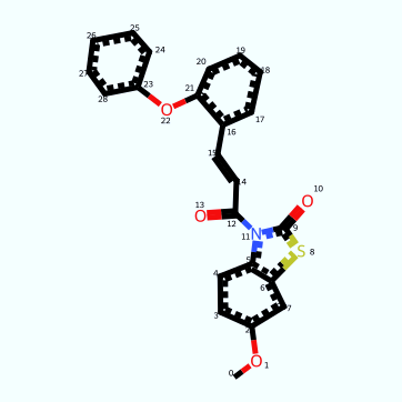 COc1ccc2c(c1)sc(=O)n2C(=O)C=Cc1ccccc1Oc1ccccc1